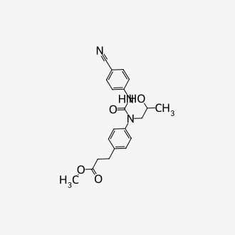 COC(=O)CCc1ccc(N(CC(C)O)C(=O)Nc2ccc(C#N)cc2)cc1